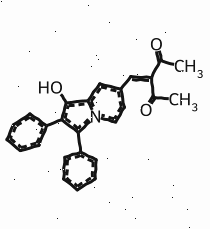 CC(=O)C(=Cc1ccn2c(-c3ccccc3)c(-c3ccccc3)c(O)c2c1)C(C)=O